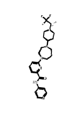 C[C@H](N1CCC(N2CCCN(c3cccc(C(=O)Nc4ccncc4)n3)CC2)CC1)C(F)(F)F